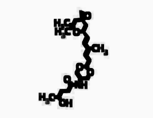 CC(/C=C/[C@@H]1C[C@]2(CO2)CC(C)(C)O1)=C\CC1OCC(NC(=O)CCC(C)O)CO1